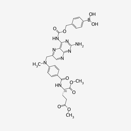 COC(=O)CC[C@H](NC(=O)c1ccc(N(C)Cc2cnc3nc(N)nc(NC(=O)OCc4ccc(B(O)O)cc4)c3n2)cc1)C(=O)OC